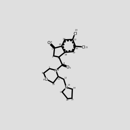 O=C1CC(C(=O)N2CCOCC2CN2CCCC2)c2cc(Cl)c(Cl)cc21